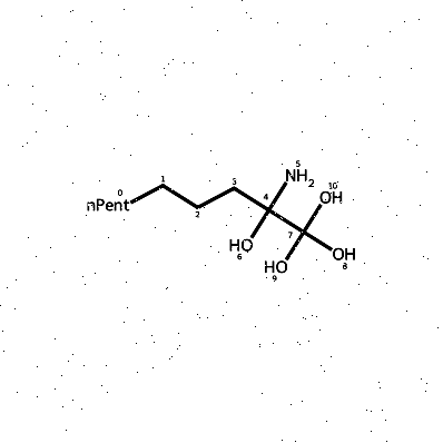 CCCCCCCCC(N)(O)C(O)(O)O